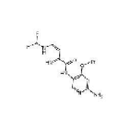 CC(C)Oc1cc(N)ncc1NC(=O)C(=N)/C=C\NC(F)F